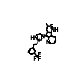 CC1=Cc2c(c3ccccnc-3c2N2CCN[C@@H](CCc3cccc(C(F)(F)F)c3)C2)NS1